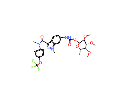 CO[C@@H]1[C@@H](OC)[C@H](C)O[C@@H](OC(=O)Nc2ccc3c(C(=O)N(C)c4ccc(OC(F)(F)F)cc4)nn(C)c3c2)[C@@H]1OC